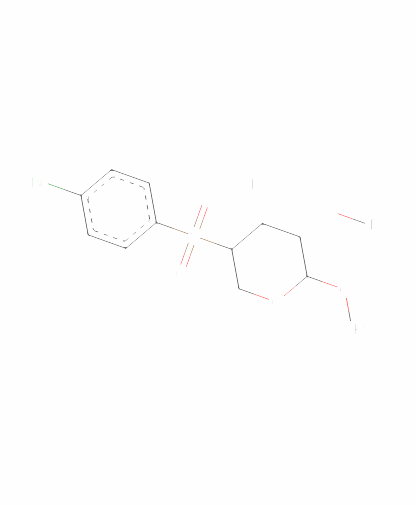 CC(C)OC1OCC(S(=O)(=O)c2ccc(Br)cc2)[C@H](F)[C@@H]1OC(C)C